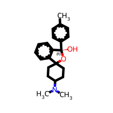 Cc1ccc([C@@]2(O)OC3(CCC(N(C)C)CC3)c3ccccc32)cc1